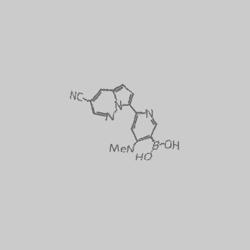 CNc1cc(-c2ccc3cc(C#N)cnn23)ncc1B(O)O